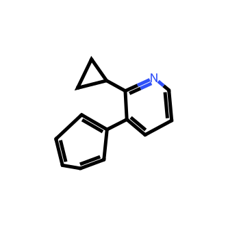 c1ccc(-c2cccnc2C2CC2)cc1